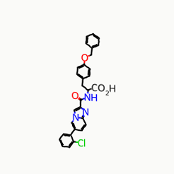 O=C(NC(Cc1ccc(OCc2ccccc2)cc1)C(=O)O)c1cn2cc(-c3ccccc3Cl)ccc2n1